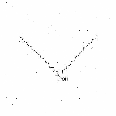 CCCCCCCCCCCCCCCCCCS(C)(CCCCCCCCCCCCCCCCCC)C(C)O